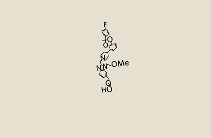 COCCn1c(CN2CCC(c3cccc4c3OC(C)(c3ccc(F)cc3)O4)CC2)nc2ccc(COCO)cc21